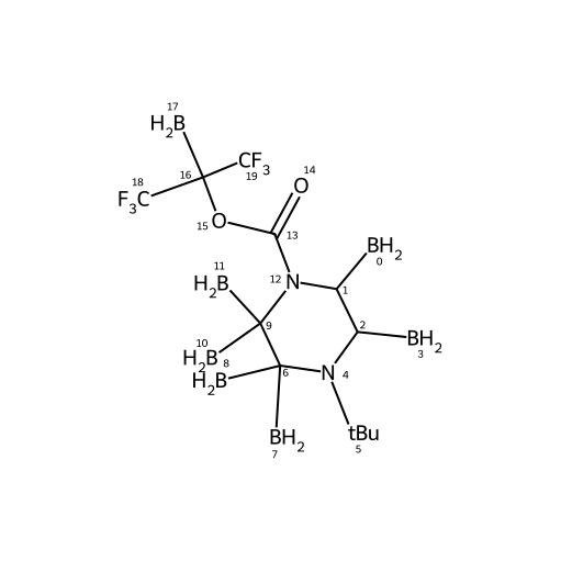 BC1C(B)N(C(C)(C)C)C(B)(B)C(B)(B)N1C(=O)OC(B)(C(F)(F)F)C(F)(F)F